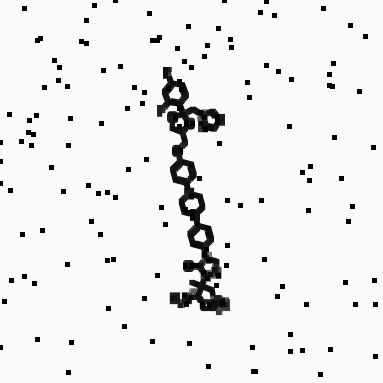 CCC(C)CC(C)([C@H](N)C(=O)O)n1ncn(-c2ccc(N3CCN(c4ccc(OCC5COC(Cn6cncn6)(c6ccc(F)cc6F)O5)cc4)CC3)cc2)c1=O